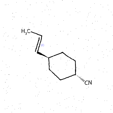 C/C=C/[C@H]1CC[C@H](C#N)CC1